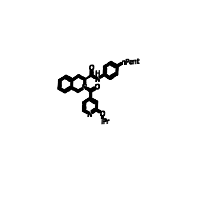 CCCCCc1ccc(NC(=O)[C@@H]2Cc3ccccc3CN2C(=O)c2ccnc(OC(C)C)c2)cc1